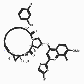 COc1ccc2c(O[C@@H]3C[C@H]4C(=O)N[C@]5(C(=O)O)C[C@H]5/C=C\CCCCC[C@H](Nc5cccc(F)c5)C(=O)N4C3)cc(-c3nc(C(C)C)cs3)nc2c1C